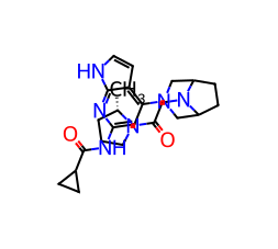 C[C@H]1CCCN1C(=O)CN1C2CCC1CN(c1cc(NC(=O)C3CC3)nc3[nH]ccc13)C2